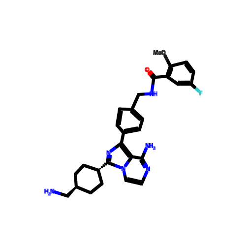 COc1ccc(F)cc1C(=O)NCc1ccc(-c2nc([C@H]3CC[C@H](CN)CC3)n3ccnc(N)c23)cc1